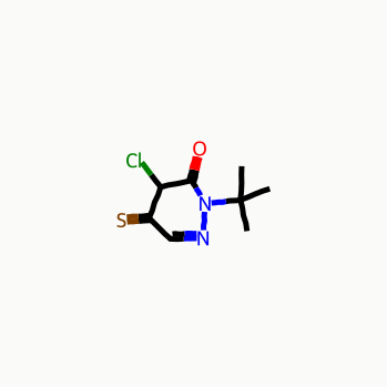 CC(C)(C)N1N=CC(=S)C(Cl)C1=O